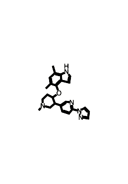 Cc1cc(C)c2[nH]ccc2c1OC1CCN(C)CC1c1ccc(-n2cccn2)nc1